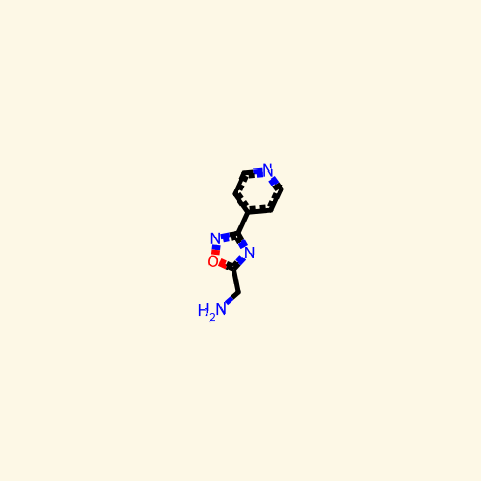 NCc1nc(-c2ccncc2)no1